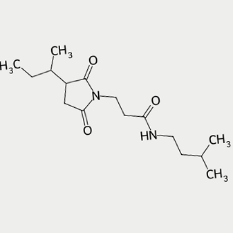 CCC(C)C1CC(=O)N(CCC(=O)NCCC(C)C)C1=O